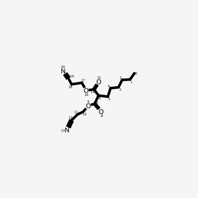 CCCCCCC(C(=O)OCCC#N)C(=O)OCCC#N